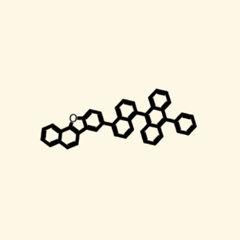 c1ccc(-c2c3ccccc3c(-c3cccc4c(-c5ccc6oc7c8ccccc8ccc7c6c5)cccc34)c3ccccc23)cc1